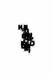 CCc1nn(-c2cc(OC(C)C3CCCCC3)c(C(=O)Nc3ccc(N)cc3C)cc2F)c(=O)n1C